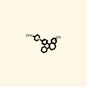 O=CC1CCN(c2ccc(C3=C(C4CCCCC4)CCCc4cc(O)ccc43)cc2)CC1